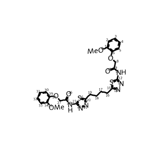 COc1ccccc1OCC(=O)Nc1nnc(CCCCc2nnc(NC(=O)COc3ccccc3OC)s2)s1